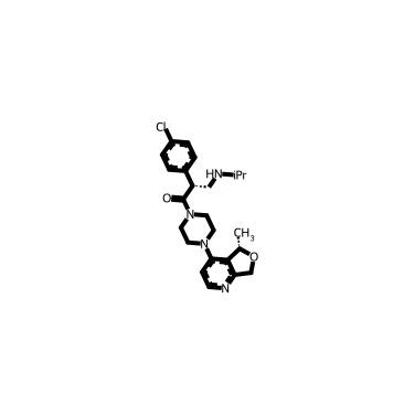 CC(C)NC[C@H](C(=O)N1CCN(c2ccnc3c2[C@H](C)OC3)CC1)c1ccc(Cl)cc1